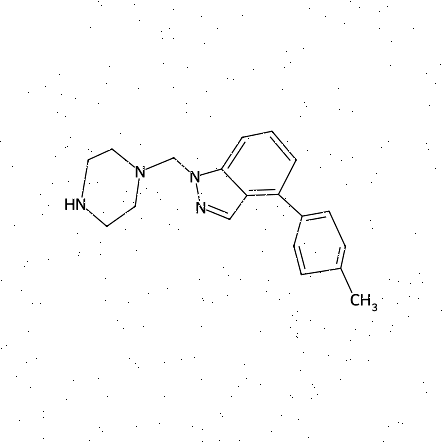 Cc1ccc(-c2cccc3c2cnn3CN2CCNCC2)cc1